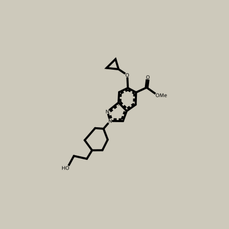 COC(=O)c1cc2cn(C3CCC(CCO)CC3)nc2cc1OC1CC1